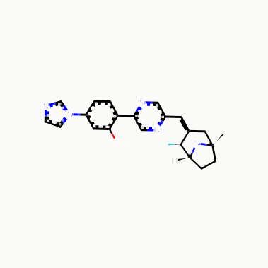 C[C@@]12CC[C@@H](N1)[C@@H](F)/C(=C\c1cnc(-c3ccc(-n4ccnc4)cc3O)cn1)C2